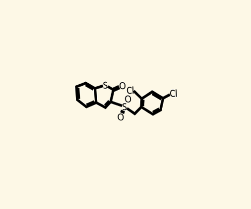 O=c1sc2ccccc2cc1S(=O)(=O)Cc1ccc(Cl)cc1Cl